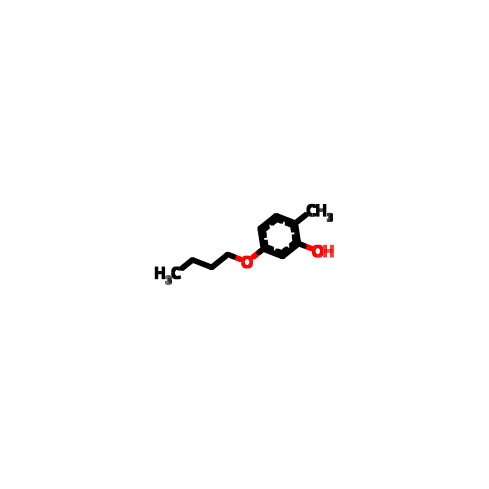 CCCCOc1ccc(C)c(O)c1